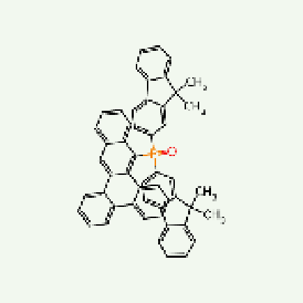 CC1(C)c2ccccc2-c2ccc(P(=O)(c3ccc4c(c3)C(C)(C)c3ccccc3-4)c3c4ccccc4cc4c5ccccc5c5ccccc5c34)cc21